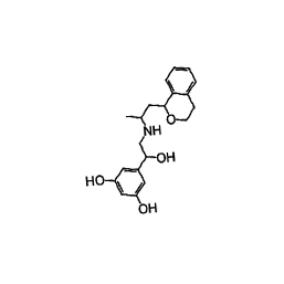 CC(CC1OCCc2ccccc21)NCC(O)c1cc(O)cc(O)c1